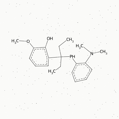 CCC(CC)(Pc1ccccc1N(C)C)c1cccc(OC)c1O